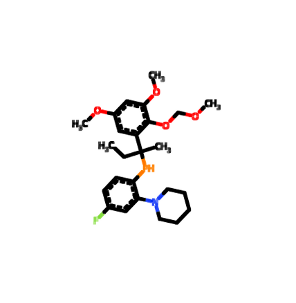 CCC(C)(Pc1ccc(F)cc1N1CCCCC1)c1cc(OC)cc(OC)c1OCOC